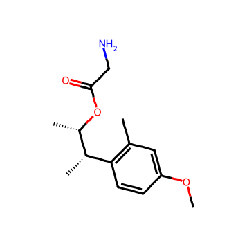 COc1ccc([C@H](C)[C@H](C)OC(=O)CN)c(C)c1